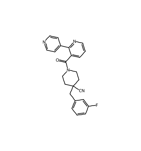 N#CC1(Cc2cccc(F)c2)CCN(C(=O)c2cccnc2-c2ccncc2)CC1